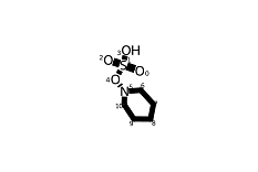 O=S(=O)(O)ON1CCCCC1